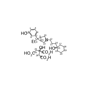 CCC1(c2cccc(O)c2)C2CN(CCCC3(O)CCCCC3)CC21.O=C(O)CC(O)(CC(=O)O)C(=O)O